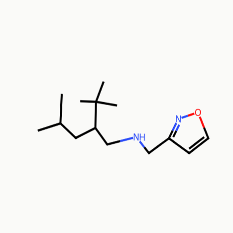 CC(C)CC(CNCc1ccon1)C(C)(C)C